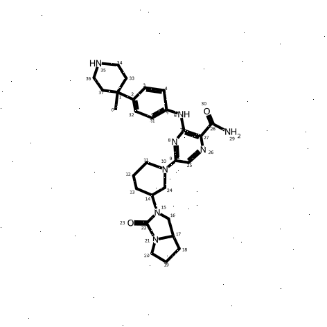 CC1(c2ccc(Nc3nc(N4CCCC(N5CC6CCCN6C5=O)C4)cnc3C(N)=O)cc2)CCNCC1